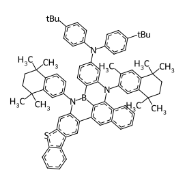 Cc1cc2c(cc1N1c3cc(N(c4ccc(C(C)(C)C)cc4)c4ccc(C(C)(C)C)cc4)ccc3B3c4c(cc5ccccc5c41)-c1cc4c(cc1N3c1ccc3c(c1)C(C)(C)CCC3(C)C)sc1ccccc14)C(C)(C)CCC2(C)C